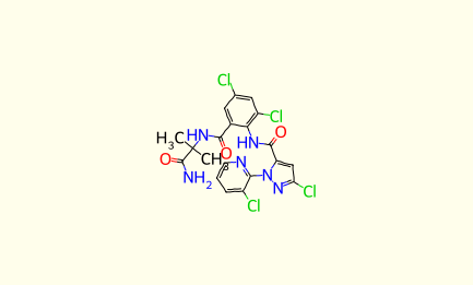 CC(C)(NC(=O)c1cc(Cl)cc(Cl)c1NC(=O)c1cc(Cl)nn1-c1ncccc1Cl)C(N)=O